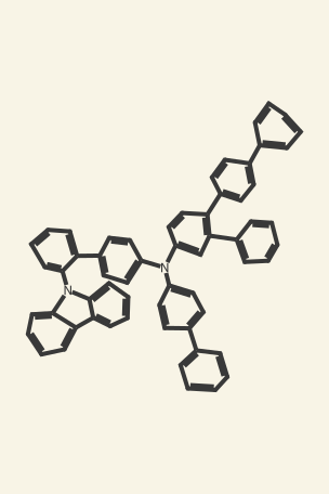 c1ccc(-c2ccc(-c3ccc(N(c4ccc(-c5ccccc5)cc4)c4ccc(-c5ccccc5-n5c6ccccc6c6ccccc65)cc4)cc3-c3ccccc3)cc2)cc1